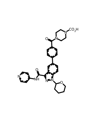 O=C(Nc1ccncc1)c1nn(C2CCCCO2)c2ccc(-c3ccc(C(=O)N4CCN(C(=O)O)CC4)cc3)cc12